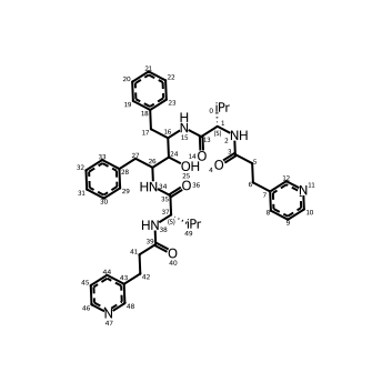 CC(C)[C@H](NC(=O)CCc1cccnc1)C(=O)NC(Cc1ccccc1)C(O)C(Cc1ccccc1)NC(=O)[C@@H](NC(=O)CCc1cccnc1)C(C)C